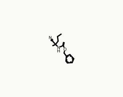 C=C(NC(C)(C#N)CCC)OCc1ccccc1